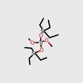 CC[Si](CC)(CC)[O][Ti]([O]C)([O]C)[O][Si](CC)(CC)CC